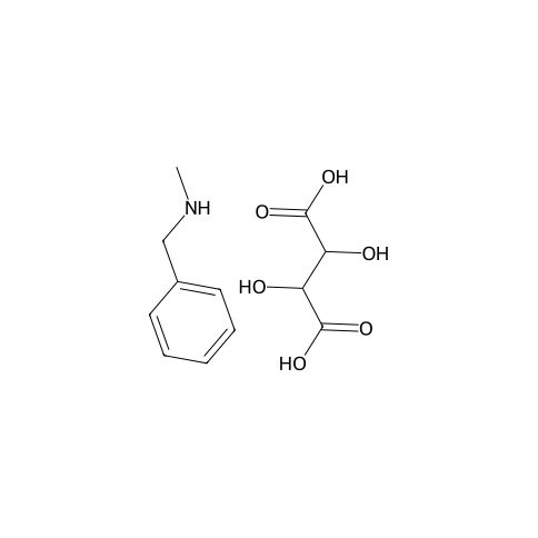 CNCc1ccccc1.O=C(O)C(O)C(O)C(=O)O